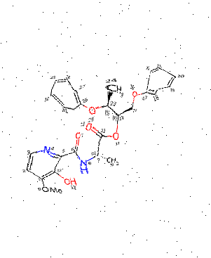 COc1ccnc(C(=O)N[C@@H](C)C(=O)O[C@H](COc2ccccc2)[C@H](C)Oc2ccccc2)c1O